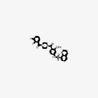 COc1cc(NS(=O)(=O)c2cccc3cccnc23)ccc1C(=O)N1CCN(C(=O)c2cccc(F)c2F)CC1